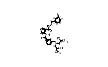 CC(O)CN(Cc1cccc(C(=O)Nc2cscc2C(=O)N/N=C/c2cccc(F)c2)c1)CC(C)O